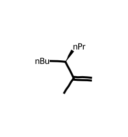 C=C(C)[C@H](CCC)CCCC